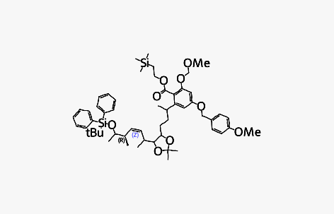 COCOc1cc(OCc2ccc(OC)cc2)cc(C(C)CCC2OC(C)(C)OC2C(C)/C=C\[C@@H](C)C(C)O[Si](c2ccccc2)(c2ccccc2)C(C)(C)C)c1C(=O)OCC[Si](C)(C)C